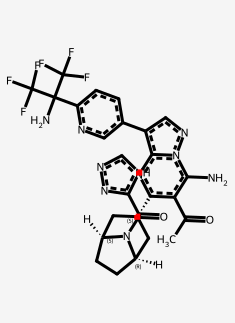 CC(=O)c1c([C@@H]2C[C@H]3CC[C@@H](C2)N3C(=O)c2nnc[nH]2)nc2c(-c3ccc(C(N)(C(F)(F)F)C(F)(F)F)nc3)cnn2c1N